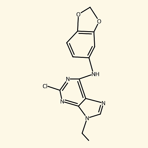 CCn1cnc2c(Nc3ccc4c(c3)OCO4)nc(Cl)nc21